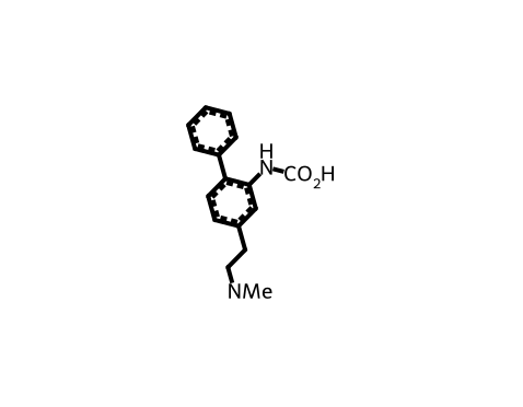 CNCCc1ccc(-c2ccccc2)c(NC(=O)O)c1